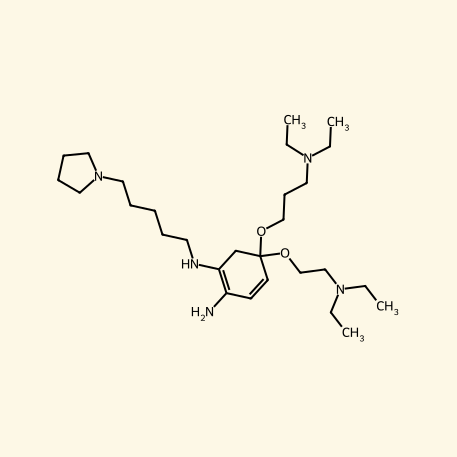 CCN(CC)CCCOC1(OCCN(CC)CC)C=CC(N)=C(NCCCCCN2CCCC2)C1